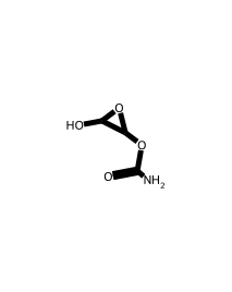 NC(=O)OC1OC1O